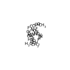 CCOC(=O)CCCc1c(F)ccc2cc(OCOC)cc(-c3ncc4c(N5CCOCC(CNC(=O)OC(C)(C)C)C5)nc(OC[C@@]56CCCN5C[C@H](F)C6)nc4c3F)c12